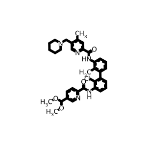 COC(OC)c1ccc(C(=O)Nc2cccc(-c3cccc(NC(=O)c4cc(C)c(CN5CCCCC5)cn4)c3C)c2Cl)nc1